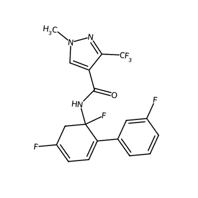 Cn1cc(C(=O)NC2(F)CC(F)=CC=C2c2cccc(F)c2)c(C(F)(F)F)n1